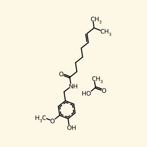 CC(=O)O.COc1cc(CNC(=O)CCCCC=CC(C)C)ccc1O